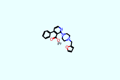 CC(C)OC(=O)c1c(-c2ccccc2)ccnc1N1CCN(Cc2ccco2)CC1